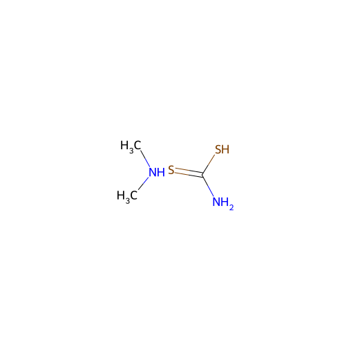 CNC.NC(=S)S